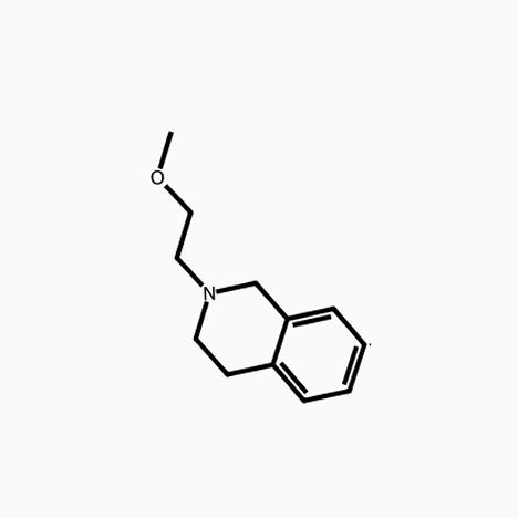 COCCN1CCc2cc[c]cc2C1